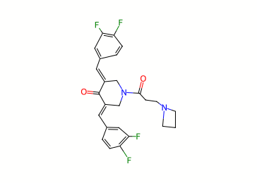 O=C1/C(=C/c2ccc(F)c(F)c2)CN(C(=O)CCN2CCC2)C/C1=C\c1ccc(F)c(F)c1